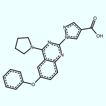 O=C(O)c1cnn(-c2nc(N3CCCC3)c3cc(Oc4ccccc4)ccc3n2)c1